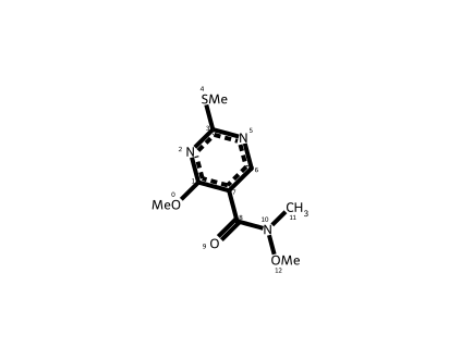 COc1nc(SC)ncc1C(=O)N(C)OC